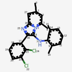 Cc1cc(C)n2c(Nc3c(C)cccc3C)c(-c3cccc(Cl)c3Cl)nc2c1